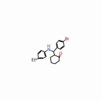 CCc1ccc(NC(c2ccc(Br)cc2)C2CCCCC2=O)cc1